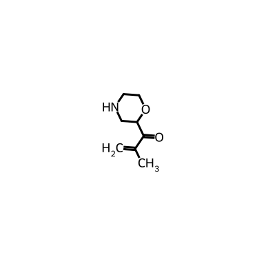 C=C(C)C(=O)C1CNCCO1